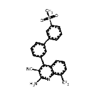 CS(=O)(=O)c1cccc(-c2cccc(-c3c(C#N)c(N)nc4c(C(F)(F)F)cccc34)c2)c1